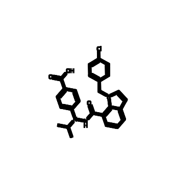 CC(C)N(NC(=O)c1cccc2ccn(Cc3ccc(Cl)cc3)c12)c1ccc(C(=O)O)cc1